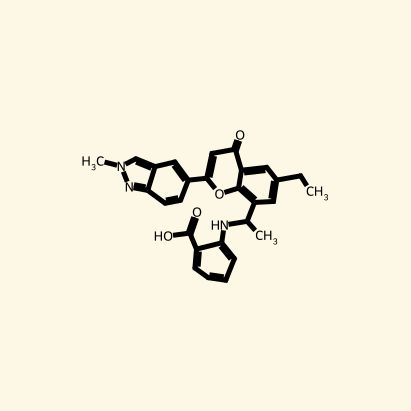 CCc1cc(C(C)Nc2ccccc2C(=O)O)c2oc(-c3ccc4nn(C)cc4c3)cc(=O)c2c1